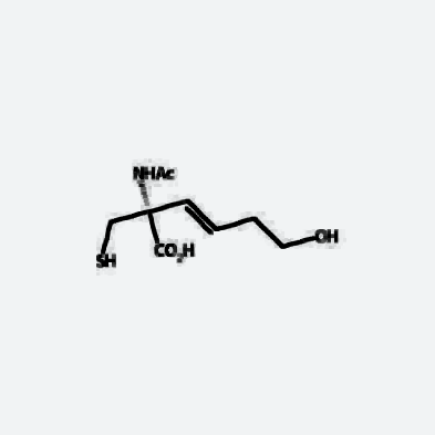 CC(=O)N[C@@](C=CCCO)(CS)C(=O)O